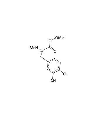 CN[C@@H](Cc1ccc(Cl)c(C#N)c1)C(=O)OOC